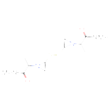 CNC(=O)C(C)N1CC1SSC1CN1C(C)C(=O)NC